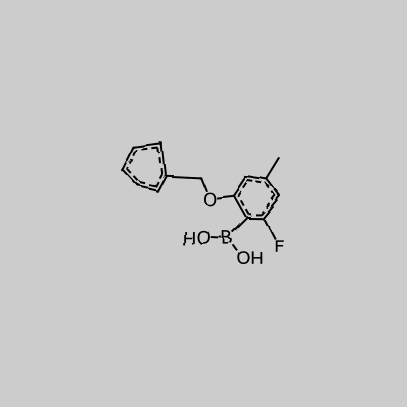 Cc1cc(F)c(B(O)O)c(OCc2ccccc2)c1